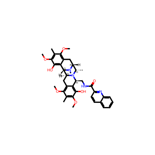 COc1c(C)c(OC)c2c(c1O)[C@H]1[C@@H]3Cc4c(OC)c(C)c(OC)c(O)c4[C@H](CNC(=O)c4ccc5ccccc5n4)N3[C@@H](C)[C@@H](C2)N1C